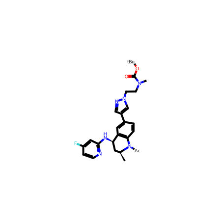 CC(=O)N1c2ccc(-c3cnn(CCN(C)C(=O)OC(C)(C)C)c3)cc2[C@H](Nc2cc(F)ccn2)C[C@@H]1C